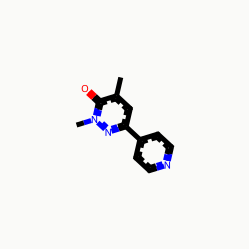 Cc1cc(-c2ccncc2)nn(C)c1=O